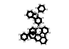 C1=CC2=CC3CC=CC4C5CC=CC(N(c6ccc(-c7ccccc7)cc6)c6ccc7c(c6)c6ccccc6n7C6=CCCC=C6)=C5C(C2C=C1)C34